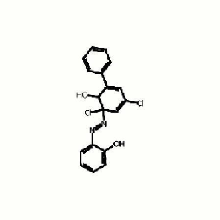 Oc1ccccc1N=NC1(Cl)C=C(Cl)C=C(c2ccccc2)C1O